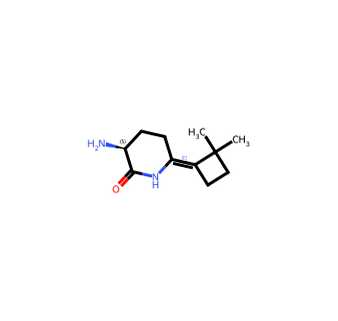 CC1(C)CC/C1=C1/CC[C@H](N)C(=O)N1